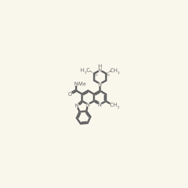 CNC(=O)c1cc2c(N3C[C@@H](C)N[C@@H](C)C3)cc(C)nc2n2c1nc1ccccc12